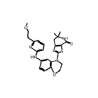 COCCc1cccc(Nc2ccc3c(c2)N(c2nc4c(s2)C(=O)NC(C)(C)C4)CCO3)n1